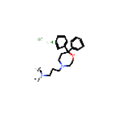 CN(C)CCCN1CCOC(c2ccccc2)(c2ccccc2)CC1.Cl.Cl